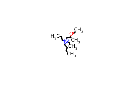 CCCC[N+](CC)(CCC)CC(C)OCC